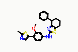 COc1cc(Nc2nc3c(s2)CCCC3c2ccccc2)ccc1-c1cnc(C)s1